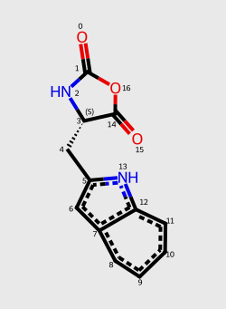 O=C1N[C@@H](Cc2cc3ccccc3[nH]2)C(=O)O1